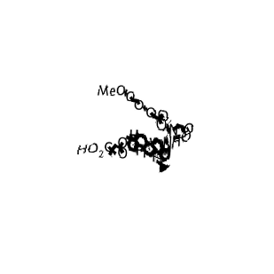 COCCOCCOCCOCC(=O)O[C@H](C)[C@@H](CN[C@]12CC[C@@H](C3(C)CC3)[C@@H]1[C@H]1CC[C@@H]3[C@@]4(C)CC[C@H](OC(=O)CC(C)(C)C(=O)O)C(C)(C)[C@@H]4CC[C@@]3(C)[C@]1(C)CC2)N1CCS(=O)(=O)CC1